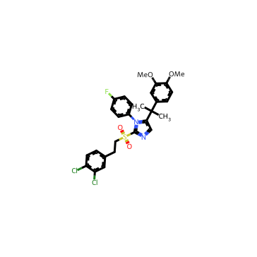 COc1ccc(C(C)(C)c2cnc(S(=O)(=O)CCc3ccc(Cl)c(Cl)c3)n2-c2ccc(F)cc2)cc1OC